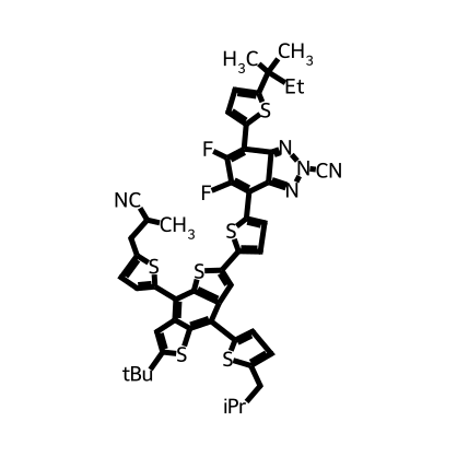 CCC(C)(C)c1ccc(-c2c(F)c(F)c(-c3ccc(-c4cc5c(-c6ccc(CC(C)C)s6)c6sc(C(C)(C)C)cc6c(-c6ccc(CC(C)C#N)s6)c5s4)s3)c3nn(C#N)nc23)s1